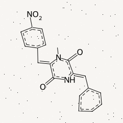 Cn1c(=O)c(=Cc2ccccc2)[nH]c(=O)c1=Cc1ccc([N+](=O)[O-])cc1